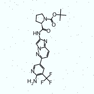 CC(C)(C)OC(=O)N1CCC[C@@H]1C(=O)Nc1cn2nc(-c3cnc(N)c(C(F)(F)F)c3)ccc2n1